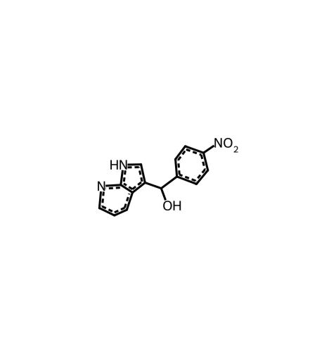 O=[N+]([O-])c1ccc(C(O)c2c[nH]c3ncccc23)cc1